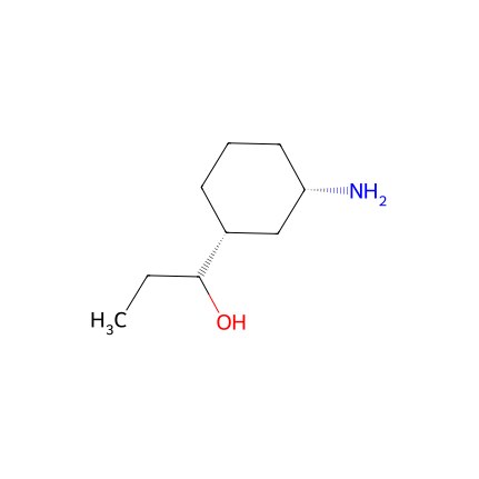 CCC(O)[C@@H]1CCC[C@H](N)C1